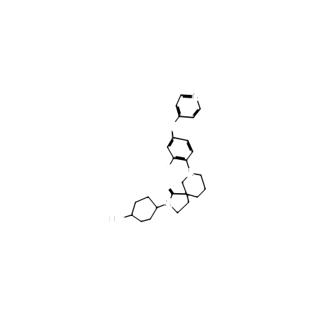 O=C1N(C2CCC(O)CC2)CCC12CCCN(c1ccc(Oc3ccncc3)cc1F)C2